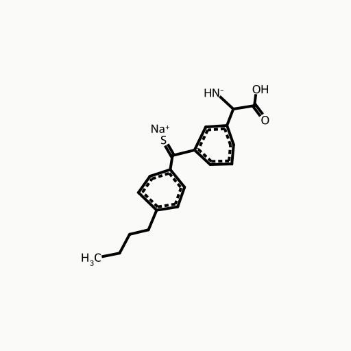 CCCCc1ccc(C(=S)c2cccc(C([NH-])C(=O)O)c2)cc1.[Na+]